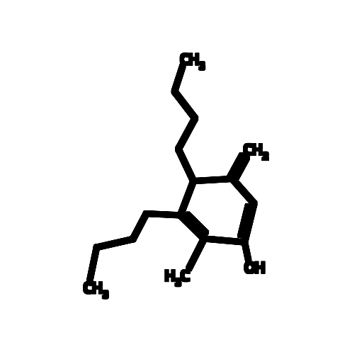 C=C1C=C(O)C(C)=C(CCCC)C1CCCC